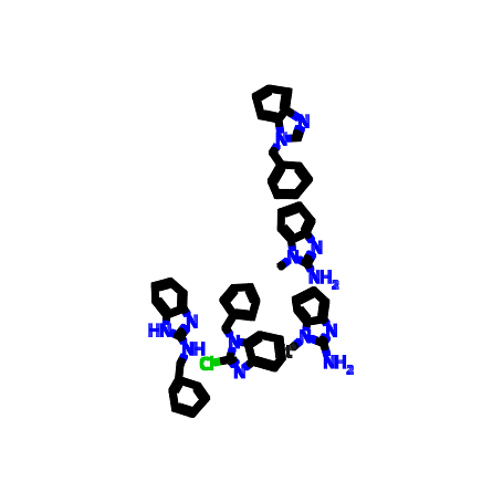 CCn1c(N)nc2ccccc21.Clc1nc2ccccc2n1Cc1ccccc1.Cn1c(N)nc2ccccc21.c1ccc(CNc2nc3ccccc3[nH]2)cc1.c1ccc(Cn2cnc3ccccc32)cc1